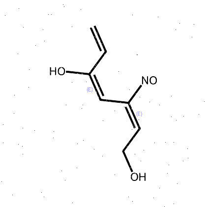 C=C/C(O)=C\C(=C/CO)N=O